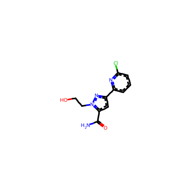 NC(=O)c1cc(-c2cccc(Cl)n2)nn1CCO